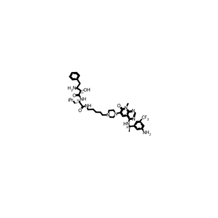 CC(C)C[C@H](NC(=O)[C@@H](O)[C@H](N)Cc1ccccc1)C(=O)NCCCCCN1CCN(c2cc3c(N[C@H](C)c4cc(N)cc(C(F)(F)F)c4)ncnc3n(C)c2=O)CC1